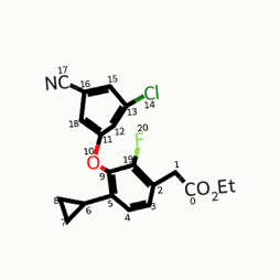 CCOC(=O)Cc1ccc(C2CC2)c(Oc2cc(Cl)cc(C#N)c2)c1F